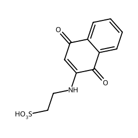 O=C1C=C(NCCS(=O)(=O)O)C(=O)c2ccccc21